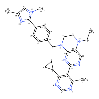 COc1ncnc(C2CC2)c1-c1ncc2c(n1)N(Cc1ccc(-c3nc(C(F)(F)F)cn3C)cc1)CCN2CC(F)(F)F